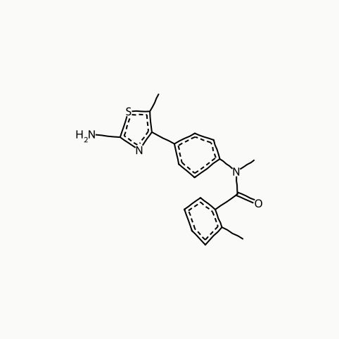 Cc1ccccc1C(=O)N(C)c1ccc(-c2nc(N)sc2C)cc1